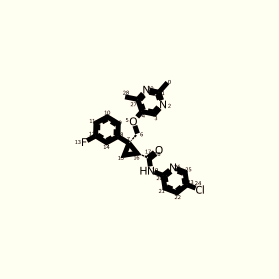 Cc1ncc(OC[C@@]2(c3cccc(F)c3)C[C@H]2C(=O)Nc2ccc(Cl)cn2)c(C)n1